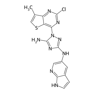 Cc1csc2c(-n3nc(Nc4cnc5[nH]ccc5c4)nc3N)nc(Cl)nc12